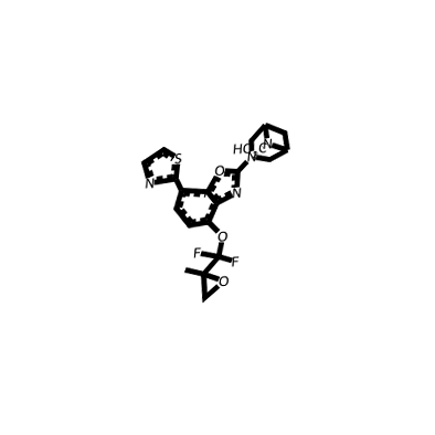 CC1(C(F)(F)Oc2ccc(-c3nccs3)c3oc(N4CC5CC(C4)N5C(=O)O)nc23)CO1